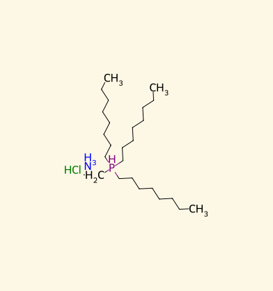 Cl.N.[CH2][PH](CCCCCCCC)(CCCCCCCC)CCCCCCCC